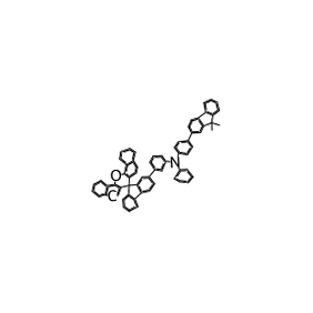 CC1(C)c2ccccc2-c2ccc(-c3ccc(N(c4ccccc4)c4cccc(-c5ccc6c(c5)C5(c7ccccc7-6)c6ccc7ccccc7c6Oc6c5ccc5ccccc65)c4)cc3)cc21